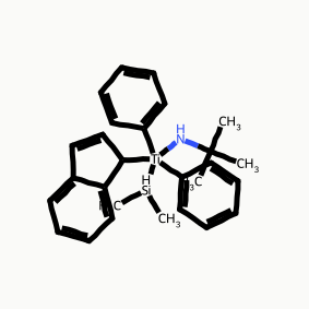 C[SiH](C)[Ti]([NH]C(C)(C)C)([c]1ccccc1)([c]1ccccc1)[CH]1C=Cc2ccccc21